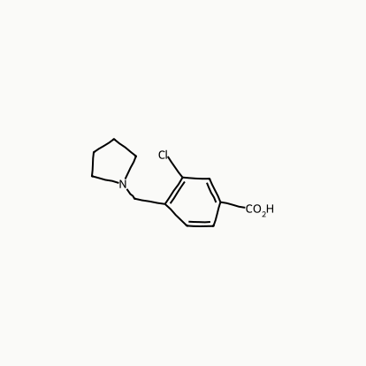 O=C(O)c1ccc(CN2CCCC2)c(Cl)c1